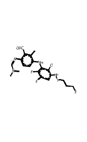 Cc1c(Nc2c(F)c(F)cc(NSCCCF)c2Cl)ccc(/N=C\N(C)C)c1C=O